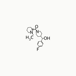 CCN1CCCC[C@H]1C(=O)N1CCC(C(O)c2ccc(F)cc2)CC1